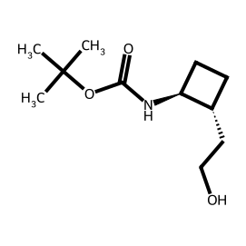 CC(C)(C)OC(=O)N[C@H]1CC[C@@H]1CCO